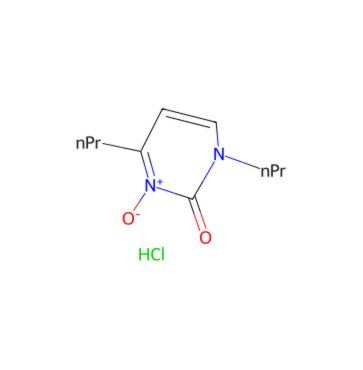 CCCc1ccn(CCC)c(=O)[n+]1[O-].Cl